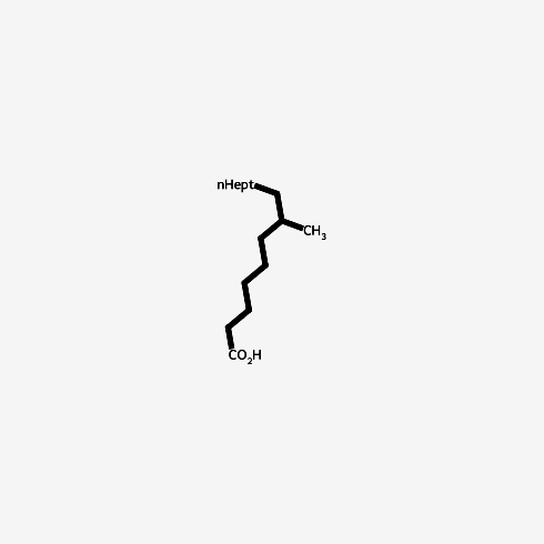 CCCCCCCCC(C)CCCCCC(=O)O